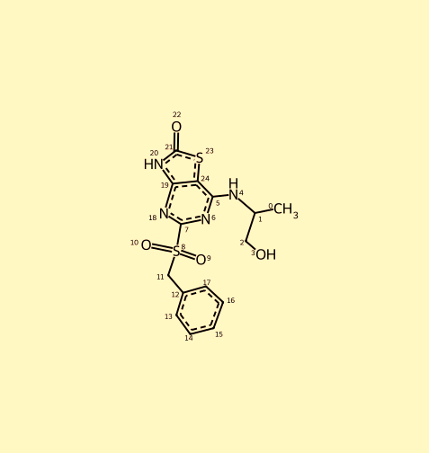 CC(CO)Nc1nc(S(=O)(=O)Cc2ccccc2)nc2[nH]c(=O)sc12